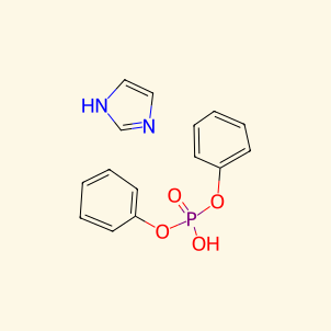 O=P(O)(Oc1ccccc1)Oc1ccccc1.c1c[nH]cn1